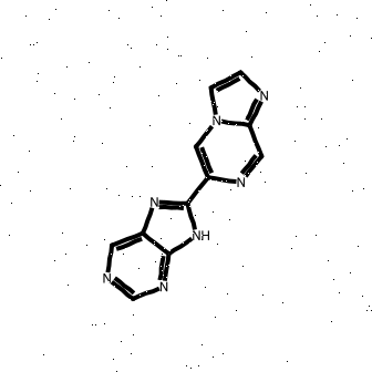 c1ncc2nc(-c3cn4ccnc4cn3)[nH]c2n1